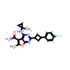 Cc1oc2nc(C3CC(c4ccc(F)cc4)C3)nc(NC3(C)CC3)c2c1C(N)=O